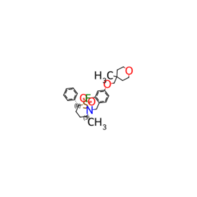 C[C@H]1CC[C@H](c2ccccc2)S(=O)(=O)N1Cc1ccc(OCC2(C)CCOCC2)cc1F